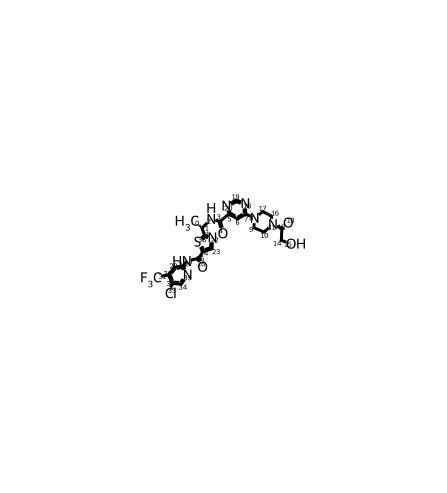 C[C@@H](NC(=O)c1cc(N2CCN(C(=O)CO)CC2)ncn1)c1ncc(C(=O)Nc2cc(C(F)(F)F)c(Cl)cn2)s1